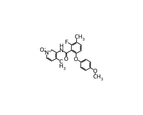 COc1ccc(Oc2ccc(C)c(F)c2C(=O)Nc2c[n+]([O-])ccc2C)cc1